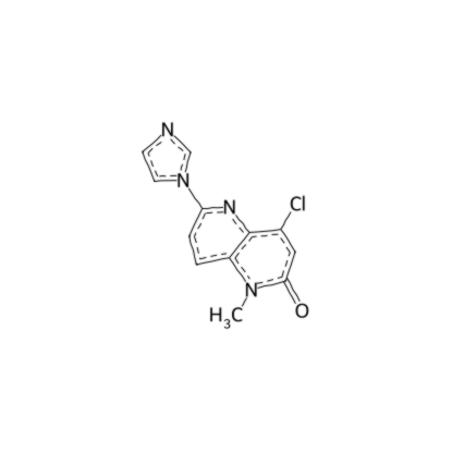 Cn1c(=O)cc(Cl)c2nc(-n3ccnc3)ccc21